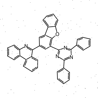 c1ccc(-c2nc(-c3ccccc3)nc(-c3cc(-c4nc5ccccc5c5ccccc45)cc4c3oc3ccccc34)n2)cc1